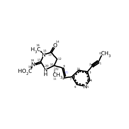 CC#Cc1cncc(/C=C/[C@]2(C)CC(=O)N(C)C(=NC(=O)O)N2)c1